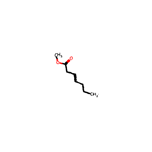 [CH2]CCC=CCC(=O)OC